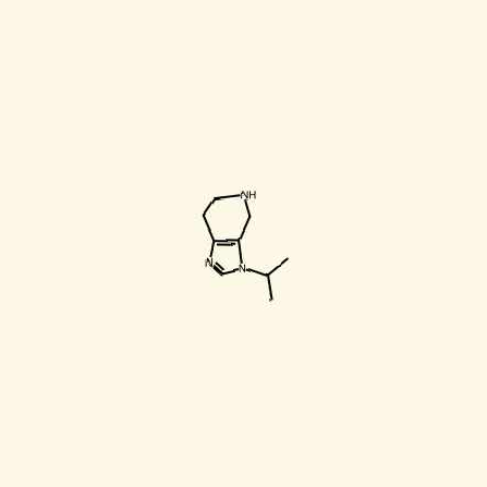 CC(C)n1cnc2c1CNCC2